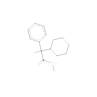 CCCCCCNC(=O)C(O)(c1ccccc1)C1CCCCC1